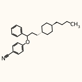 CCCC[C@H]1CC[C@H](CCC(Oc2ccc(C#N)cc2)c2ccccc2)CC1